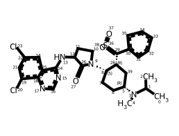 CC(C)N(C)[C@@H]1CC[C@H](N2CCC(Nc3ncnc4c(Cl)cc(Cl)cc34)C2=O)[C@H](C(c2ccccc2)=S(=O)=O)C1